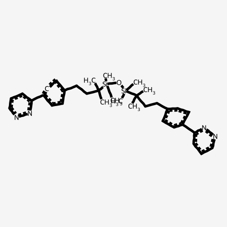 CC(C)(CCc1ccc(-c2cccnn2)cc1)[Si](C)(C)O[Si](C)(C)C(C)(C)CCc1ccc(-c2cccnn2)cc1